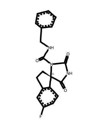 O=C(NCc1ccccc1)N1C(=O)NC(=O)[C@@]12CCc1cc(F)ccc12